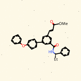 CC[C@@H](NC(=O)c1cc(/C=C/C(=O)OC)cc(-c2ccc(Oc3ccccc3)cc2)c1)c1ccccc1